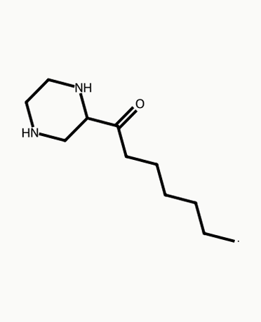 [CH2]CCCCCC(=O)C1CNCCN1